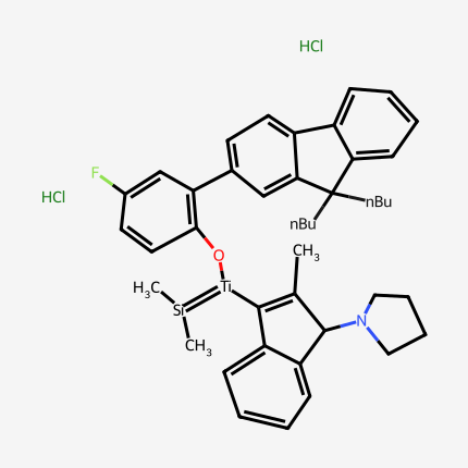 CCCCC1(CCCC)c2ccccc2-c2ccc(-c3cc(F)ccc3[O][Ti]([C]3=C(C)C(N4CCCC4)c4ccccc43)=[Si](C)C)cc21.Cl.Cl